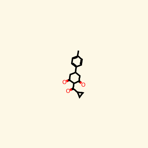 Cc1ccc(C2CC(=O)C(C(=O)C3CC3)C(=O)C2)cc1